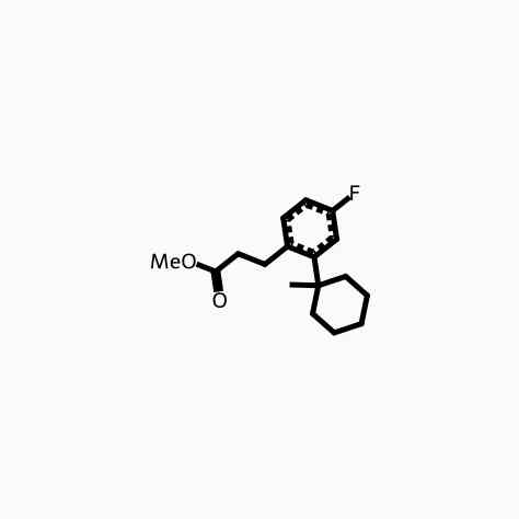 COC(=O)CCc1ccc(F)cc1C1(C)CCCCC1